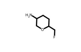 NC1CCC(CF)OC1